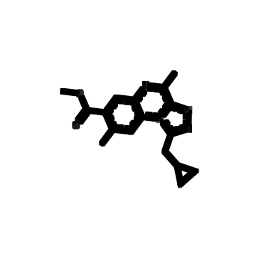 COC(=O)c1cc2nc(C)c3nnc(CC4CC4)n3c2cc1C